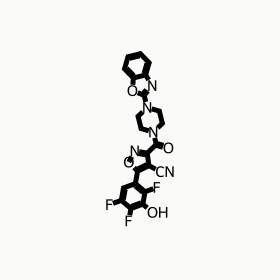 N#Cc1c(C(=O)N2CCN(c3nc4ccccc4o3)CC2)noc1-c1cc(F)c(F)c(O)c1F